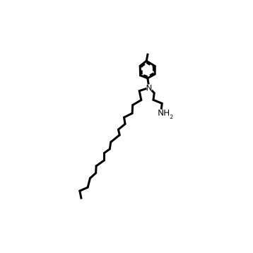 CCCCCCCCCCCCCCCCCCN(CCCN)c1ccc(C)cc1